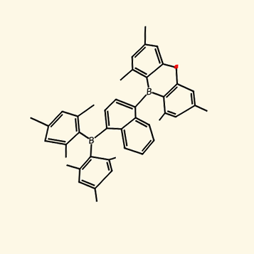 Cc1cc(C)c(B(c2c(C)cc(C)cc2C)c2ccc(B(c3c(C)cc(C)cc3C)c3c(C)cc(C)cc3C)c3ccccc23)c(C)c1